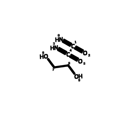 N=C=O.N=C=O.OCCO